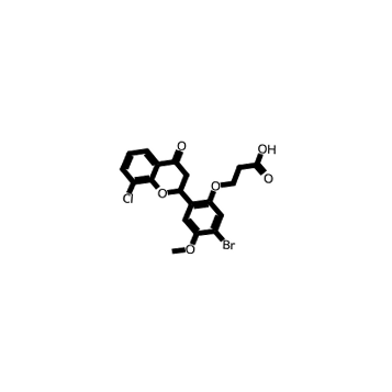 COc1cc(C2CC(=O)c3cccc(Cl)c3O2)c(OCCC(=O)O)cc1Br